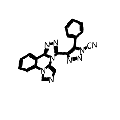 N#Cn1nnc(-c2nnc3c4ccccc4n4cncc4n23)c1-c1ccccc1